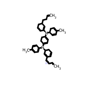 C=C/C=C\C1=CC(N(C2=CC=C(N(C3=CC(CCC=C)CC=C3)C3C=CC(C)=CC3)CC2)c2ccc(C)cc2)CC=C1